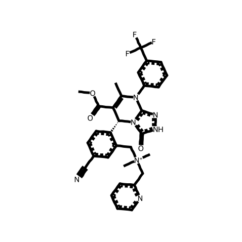 COC(=O)C1=C(C)N(c2cccc(C(F)(F)F)c2)c2n[nH]c(=O)n2[C@@H]1c1ccc(C#N)cc1C[N+](C)(C)Cc1ccccn1